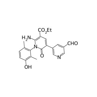 CCOC(=O)c1cc(-c2cncc(C=O)c2)c(=O)n(-c2c(C)ccc(O)c2C)c1N